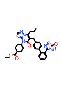 CCCc1c(Cc2ccc(-c3ccccc3-c3noc(=O)[nH]3)cc2)c(=O)n(C2CCC(C(=O)OCC)CC2)c2ncnn12